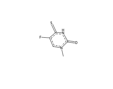 Cn1cc(F)c(=S)[nH]c1=O